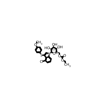 CCOC(=O)OC[C@H]1O[C@@H](n2cc(Sc3ccc(OC)cc3)c3c(Cl)cccc32)[C@H](O)[C@@H](O)[C@@H]1O